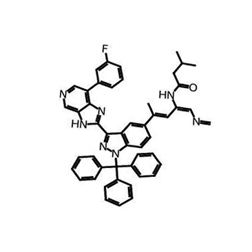 C=N/C=C(\C=C(/C)c1ccc2c(c1)c(-c1nc3c(-c4cccc(F)c4)cncc3[nH]1)nn2C(c1ccccc1)(c1ccccc1)c1ccccc1)NC(=O)CC(C)C